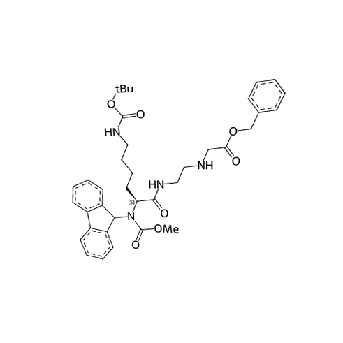 COC(=O)N(C1c2ccccc2-c2ccccc21)[C@@H](CCCCNC(=O)OC(C)(C)C)C(=O)NCCNCC(=O)OCc1ccccc1